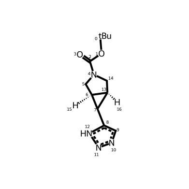 CC(C)(C)OC(=O)N1C[C@@H]2C(c3cnn[nH]3)[C@@H]2C1